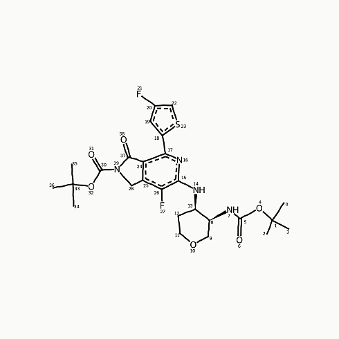 CC(C)(C)OC(=O)N[C@H]1COCC[C@H]1Nc1nc(-c2cc(F)cs2)c2c(c1F)CN(C(=O)OC(C)(C)C)C2=O